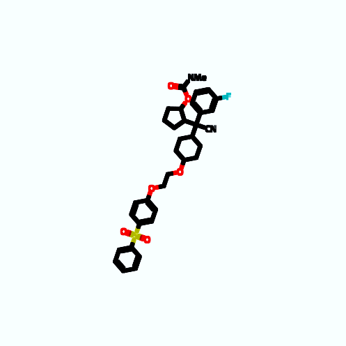 CNC(=O)OC1CCCC1C(C#N)(c1cccc(F)c1)C1CCC(OCCOc2ccc(S(=O)(=O)c3ccccc3)cc2)CC1